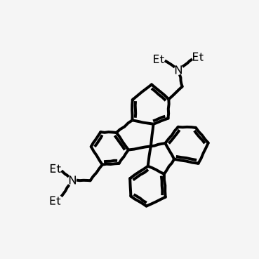 CCN(CC)Cc1ccc2c(c1)C1(c3ccccc3-c3ccccc31)c1cc(CN(CC)CC)ccc1-2